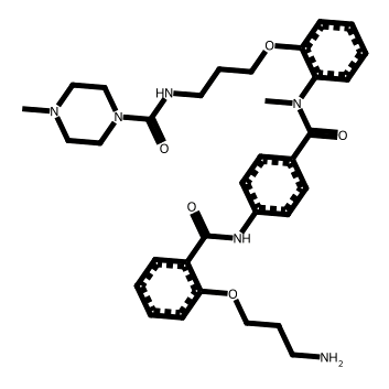 CN1CCN(C(=O)NCCCOc2ccccc2N(C)C(=O)c2ccc(NC(=O)c3ccccc3OCCCN)cc2)CC1